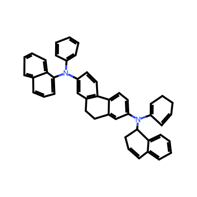 C1=CC(N(c2ccc3c(c2)CCc2cc(N(c4ccccc4)c4cccc5ccccc45)ccc2-3)C2CC=Cc3ccccc32)=CCC1